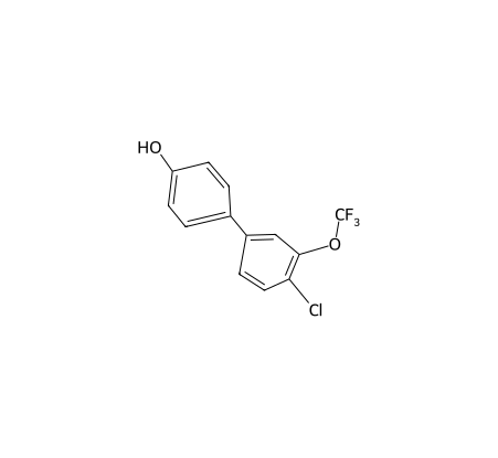 Oc1ccc(-c2ccc(Cl)c(OC(F)(F)F)c2)cc1